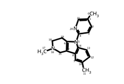 Cc1ccc(-n2c3c(c4cc(C)ccc42)CN(C)CC3)nc1